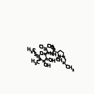 CCC[C@@H]1CCC(C(=O)N[C@@H]([C@H]2O[C@H](SC)[C@H](C)[C@@H](O)[C@H]2O)[C@@H](C)Cl)N1C